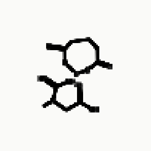 CN(CC(=O)O)C(=N)N.O=C1CCCC(=O)OOO1